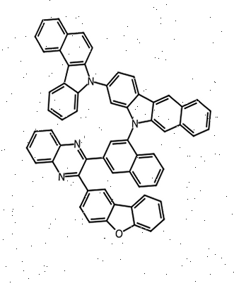 c1ccc2cc3c(cc2c1)c1ccc(-n2c4ccccc4c4c5ccccc5ccc42)cc1n3-c1cc(-c2nc3ccccc3nc2-c2ccc3oc4ccccc4c3c2)cc2ccccc12